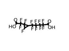 O=C(O)C(F)(F)C1(F)C(F)C1C(F)(F)C(F)(F)C(F)(F)C(F)(F)C(=O)O